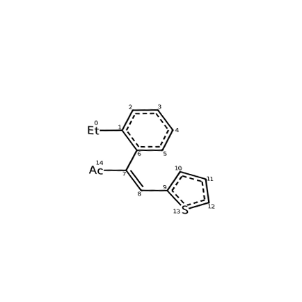 CCc1ccccc1/C(=C\c1cccs1)C(C)=O